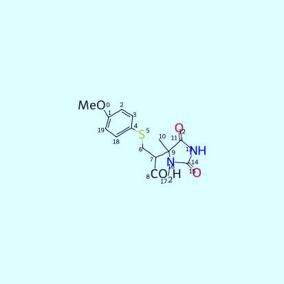 COc1ccc(SCC(C(=O)O)C2(C)C(=O)NC(=O)N2C)cc1